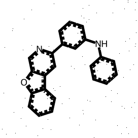 c1ccc(Nc2cccc(-c3cc4c(cn3)oc3ccccc34)c2)cc1